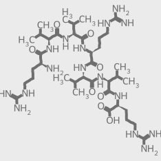 CC(C)[C@H](NC(=O)[C@H](CCCNC(=N)N)NC(=O)[C@@H](NC(=O)[C@@H](NC(=O)[C@@H](N)CCCNC(=N)N)C(C)C)C(C)C)C(=O)N[C@H](C(=O)N[C@@H](CCCNC(=N)N)C(=O)O)C(C)C